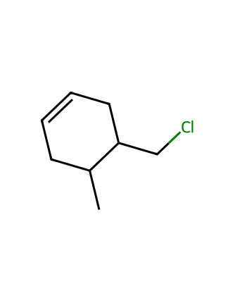 CC1CC=CCC1CCl